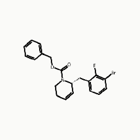 O=C(OCc1ccccc1)N1CCC=C[C@H]1Cc1cccc(Br)c1F